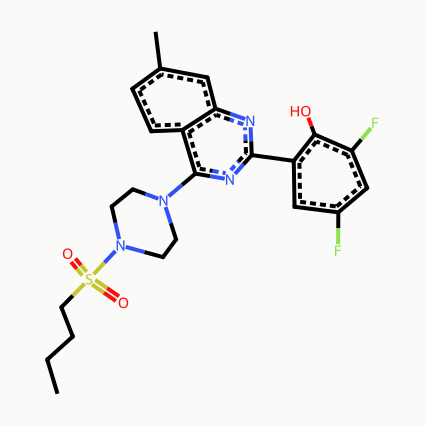 CCCCS(=O)(=O)N1CCN(c2nc(-c3cc(F)cc(F)c3O)nc3cc(C)ccc23)CC1